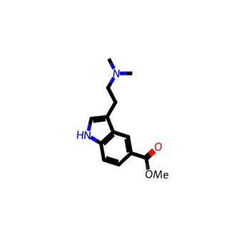 COC(=O)c1ccc2[nH]cc(CCN(C)C)c2c1